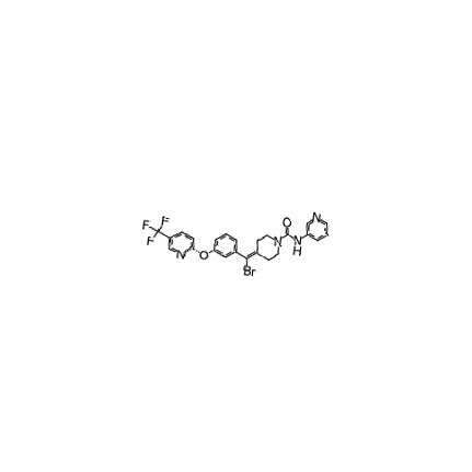 O=C(Nc1cccnc1)N1CCC(=C(Br)c2cccc(Oc3ccc(C(F)(F)F)cn3)c2)CC1